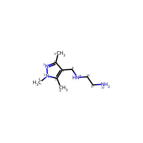 Cc1nn(C)c(C)c1CNCCN